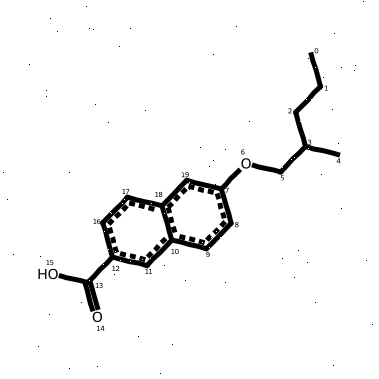 CCCC(C)COc1ccc2cc(C(=O)O)ccc2c1